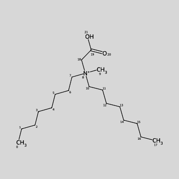 CCCCCCCC[N+](C)(CCCCCCCC)CC(=O)O